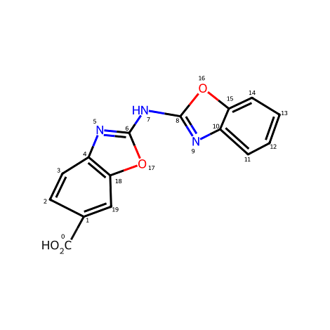 O=C(O)c1ccc2nc(Nc3nc4ccccc4o3)oc2c1